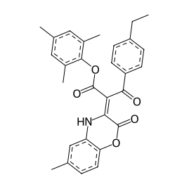 CCc1ccc(C(=O)C(C(=O)Oc2c(C)cc(C)cc2C)=C2Nc3cc(C)ccc3OC2=O)cc1